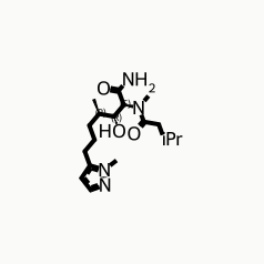 CC(C)CC(=O)N(C)[C@H](C(N)=O)[C@H](O)[C@H](C)CCCc1ccnn1C